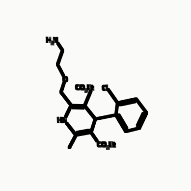 CCOC(=O)C1=C(C)NC(COCCN)=C(C(=O)OCC)C1c1ccccc1Cl